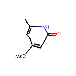 COc1cc(C)[nH]c(=O)c1